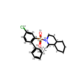 O=C(O)C1C2CCCCC2CCN1S(=O)(=O)c1cc(Cl)ccc1-c1ccccc1